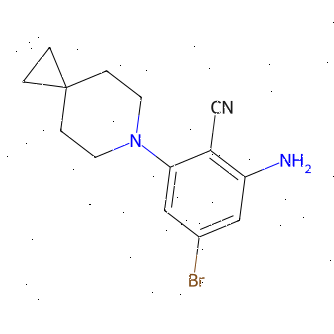 N#Cc1c(N)cc(Br)cc1N1CCC2(CC1)CC2